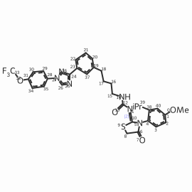 COc1ccc(N2C(=O)CS/C2=N\C(=O)NCCCCc2cccc(-c3ncn(-c4ccc(OC(F)(F)F)cc4)n3)c2)c(C(C)C)c1